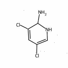 NC1NC=C(Cl)C=C1Cl